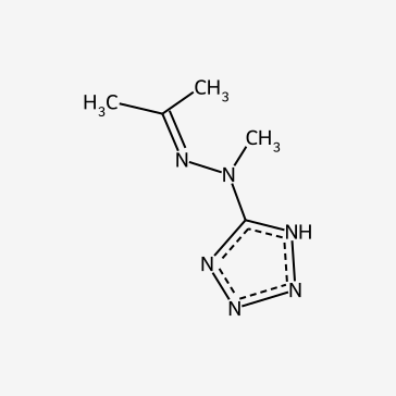 CC(C)=NN(C)c1nnn[nH]1